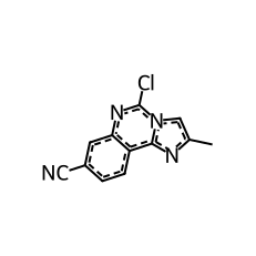 Cc1cn2c(Cl)nc3cc(C#N)ccc3c2n1